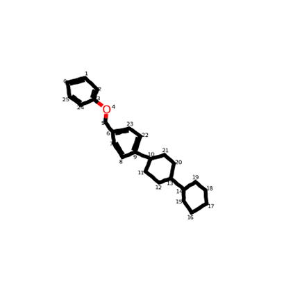 c1ccc(OCc2ccc(C3CCC(C4CCCCC4)CC3)cc2)cc1